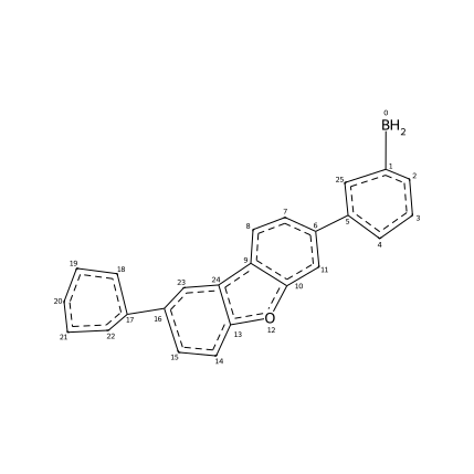 Bc1cccc(-c2ccc3c(c2)oc2ccc(-c4ccccc4)cc23)c1